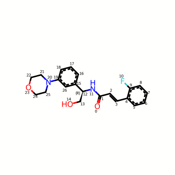 O=C(C=Cc1ccccc1F)N[C@@H](CO)c1cccc(N2CCOCC2)c1